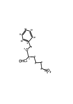 O=CC(CCCC[N+](=O)[O-])OCc1ccccc1